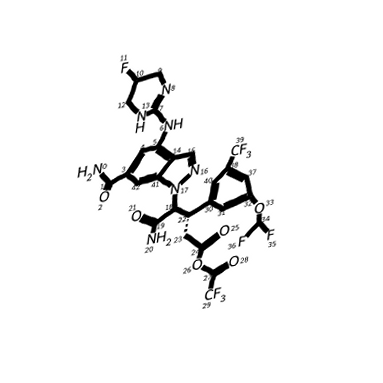 NC(=O)c1cc(NC2=NCC(F)CN2)c2cnn(C(C(N)=O)[C@@H](CC(=O)OC(=O)C(F)(F)F)c3cc(OC(F)F)cc(C(F)(F)F)c3)c2c1